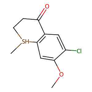 COc1cc2c(cc1Cl)C(=O)CC[SH]2C